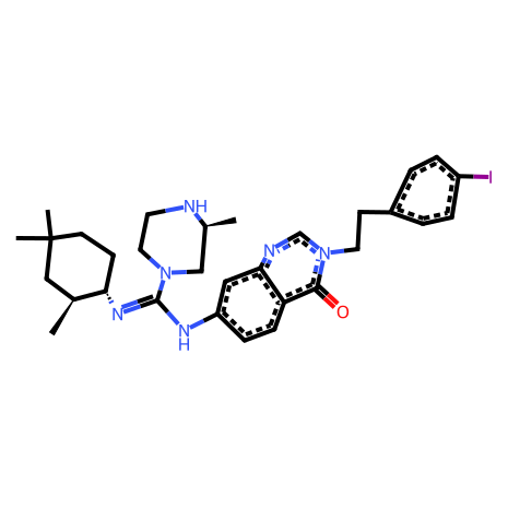 C[C@H]1CN(/C(=N\[C@H]2CCC(C)(C)C[C@@H]2C)Nc2ccc3c(=O)n(CCc4ccc(I)cc4)cnc3c2)CCN1